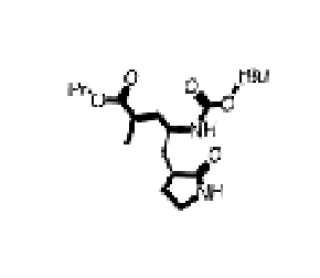 C/C(=C\[C@H](C[C@@H]1CCNC1=O)NC(=O)OC(C)(C)C)C(=O)OC(C)C